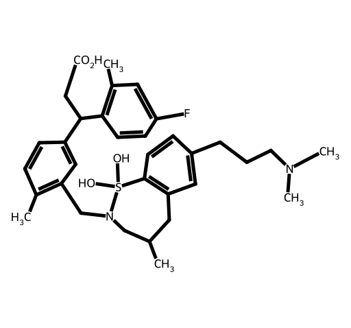 Cc1ccc(C(CC(=O)O)c2ccc(F)cc2C)cc1CN1CC(C)Cc2cc(CCCN(C)C)ccc2S1(O)O